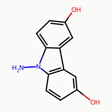 Nn1c2ccc(O)cc2c2cc(O)ccc21